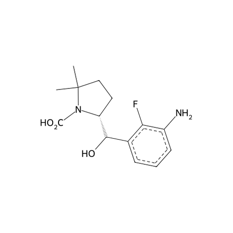 CC1(C)CC[C@H](C(O)c2cccc(N)c2F)N1C(=O)O